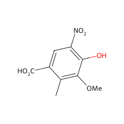 COc1c(C)c(C(=O)O)cc([N+](=O)[O-])c1O